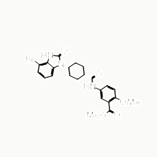 COC(=O)c1cc(NC(=O)[C@H]2CC[C@@H](n3c(=O)[nH]c4c(Br)cccc43)CC2)ccc1OC